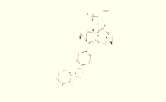 C=CC(=O)N1CCC[C@H]1c1nc(-c2ccc(Oc3cccc(C)c3C)cc2)c2cnccn12